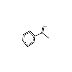 C[C](=[Sn])c1ccccc1